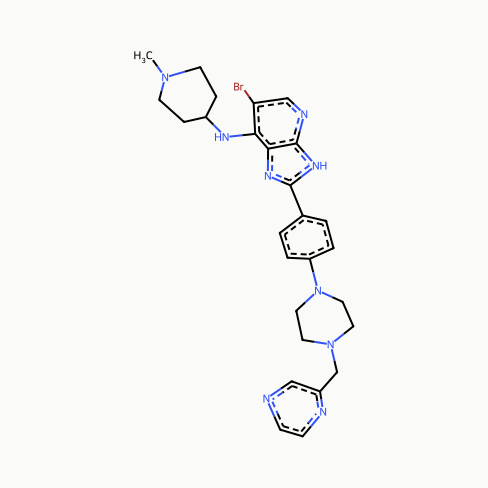 CN1CCC(Nc2c(Br)cnc3[nH]c(-c4ccc(N5CCN(Cc6cnccn6)CC5)cc4)nc23)CC1